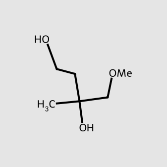 COCC(C)(O)CCO